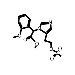 COC(=O)C(c1ccccc1OC)n1cncc1CCOS(C)(=O)=O